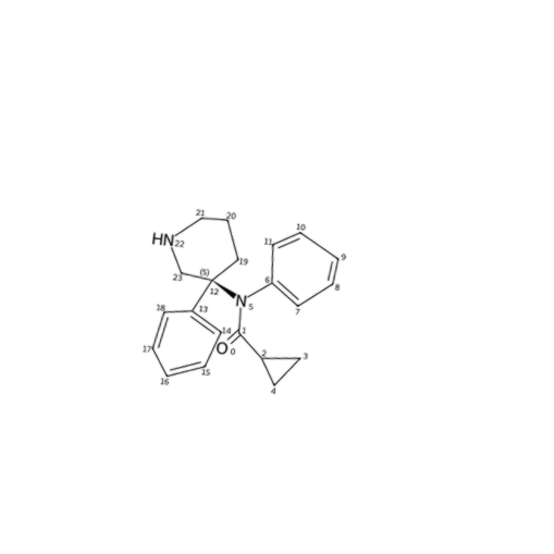 O=C(C1CC1)N(c1ccccc1)[C@]1(c2ccccc2)CCCNC1